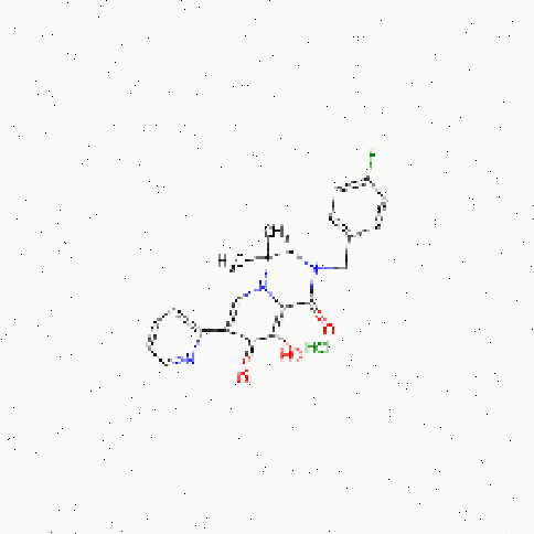 CC1(C)CN(Cc2ccc(F)cc2)C(=O)c2c(O)c(=O)c(-c3ccccn3)cn21.Cl